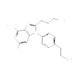 CCCCc1nc2c(C)nc(C)cc2n1-c1ccc(CCN)cc1